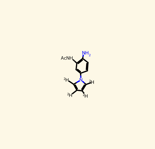 [2H]c1c([2H])c([2H])n(-c2ccc(N)c(NC(C)=O)c2)c1[2H]